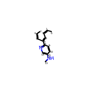 C\C=C/C=C(\C=C/C)c1ccc(NC)cn1